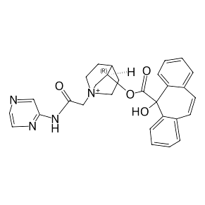 O=C(C[N+]12CCC(CC1)[C@@H](OC(=O)C1(O)c3ccccc3C=Cc3ccccc31)C2)Nc1cnccn1